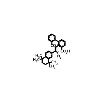 CC(=Cc1c(C(=O)O)cccc1-c1ccccc1C(=O)O)c1ccc2c(c1)C(C)(C)CCC2(C)C